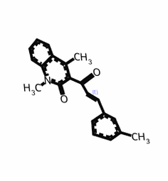 Cc1cccc(/C=C/C(=O)c2c(C)c3ccccc3n(C)c2=O)c1